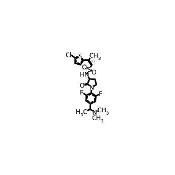 C/C(=C/S(=O)(=O)NC1CCN(c2c(F)cc(C(C)N(C)C)cc2F)C1=O)c1ccc(Cl)s1